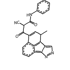 CC1C=C(C(=O)C(C#N)C(=O)Nc2ccccc2)c2cccc3c2=C1C1=CN=NC=31